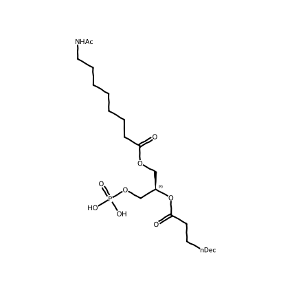 CCCCCCCCCCCCC(=O)O[C@H](COC(=O)CCCCCCCNC(C)=O)COP(=O)(O)O